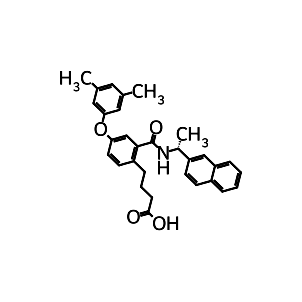 Cc1cc(C)cc(Oc2ccc(CCCC(=O)O)c(C(=O)N[C@H](C)c3ccc4ccccc4c3)c2)c1